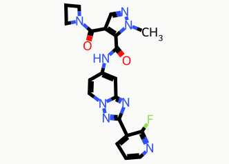 Cn1ncc(C(=O)N2CCC2)c1C(=O)Nc1ccn2nc(-c3cccnc3F)nc2c1